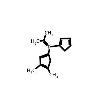 CC1=C(C)C[C]([Ti]([C]2=CC=CC2)=[C](C)C)=C1